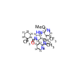 COc1ncc(C(F)(F)F)cc1NC1CC(c2cccnc2N(C)C)N(C(=O)[C@H]2CCCC[C@@H]2C(F)(F)F)C1